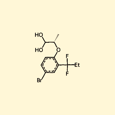 CCC(F)(F)c1cc(Br)ccc1O[C@@H](C)C(O)O